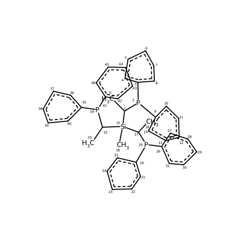 CC(P(c1ccccc1)c1ccccc1)[Si](C)(C(C)P(c1ccccc1)c1ccccc1)C(C)P(c1ccccc1)c1ccccc1